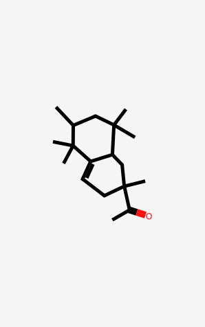 CC(=O)C1(C)CC=C2C(C1)C(C)(C)CC(C)C2(C)C